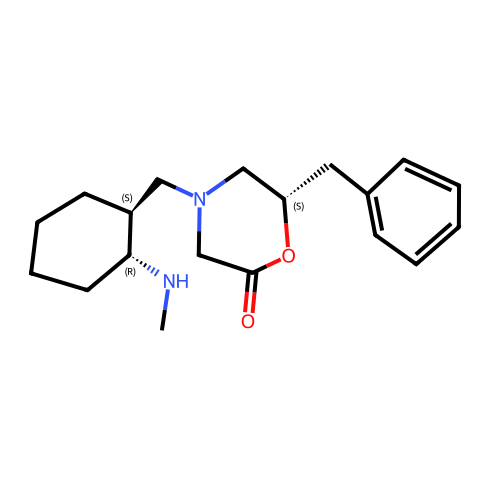 CN[C@@H]1CCCC[C@H]1CN1CC(=O)O[C@@H](Cc2ccccc2)C1